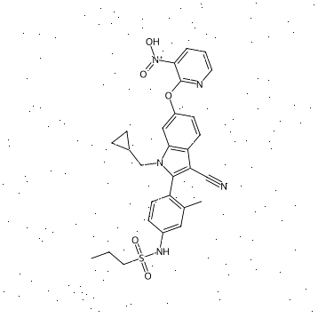 CCCS(=O)(=O)Nc1ccc(-c2c(C#N)c3ccc(Oc4ncccc4[N+](=O)O)cc3n2CC2CC2)c(C)c1